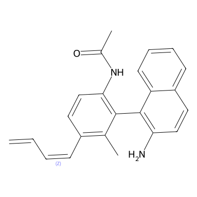 C=C/C=C\c1ccc(NC(C)=O)c(-c2c(N)ccc3ccccc23)c1C